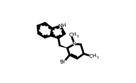 CC1C=C(Br)[C@@H](Cc2c[nH]c3ccccc23)N(C)C1